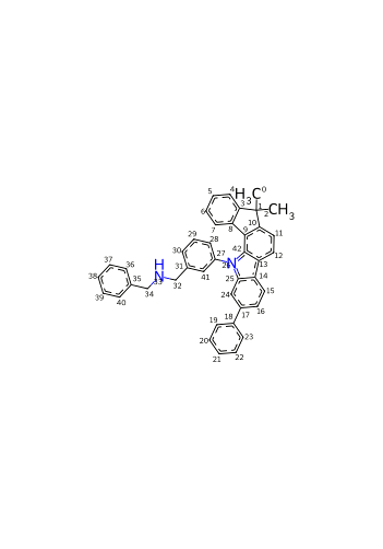 CC1(C)c2ccccc2-c2c1ccc1c3ccc(-c4ccccc4)cc3n(-c3cccc(CNCc4ccccc4)c3)c21